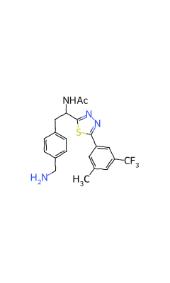 CC(=O)NC(Cc1ccc(CN)cc1)c1nnc(-c2cc(C)cc(C(F)(F)F)c2)s1